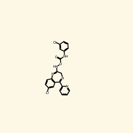 O=C(Nc1cccc(Cl)c1)ONC1=Nc2ccc(Cl)cc2C(c2ccccn2)=NC1